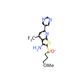 COCCC[S@+]([O-])c1sc2nc(-c3cncnc3)cc(C(F)(F)F)c2c1N